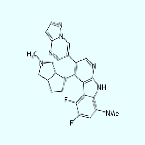 CNc1cc(F)c(F)c2c1[nH]c1ncc(-c3cnc4ccnn4c3)c(N3CCC4CN(C)CC43)c12